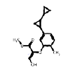 COC(=O)/C(=C/O)Oc1cc(C2CC2C2CC2)ccc1C